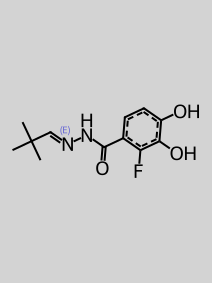 CC(C)(C)/C=N/NC(=O)c1ccc(O)c(O)c1F